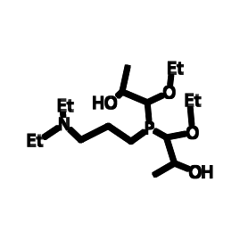 CCOC(C(C)O)P(CCCN(CC)CC)C(OCC)C(C)O